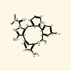 CCc1nn(C(=O)N(C)C)c2c1-c1cnc(N)c(c1)O[C@H](C)c1cc(F)ccc1-c1ncccc1C2